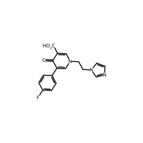 O=C(O)c1cn(CCn2ccnc2)cc(-c2ccc(F)cc2)c1=O